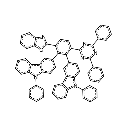 c1ccc(-c2nc(-c3ccccc3)nc(-c3ccc(-c4nc5ccccc5o4)c(-c4ccc5c(c4)c4ccccc4n5-c4ccccc4)c3-c3ccc4c(c3)c3ccccc3n4-c3ccccc3)n2)cc1